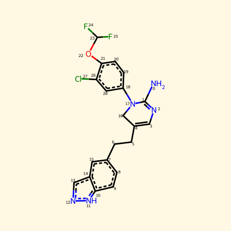 NC1=NC=C(CCc2ccc3[nH]ncc3c2)CN1c1ccc(OC(F)F)c(Cl)c1